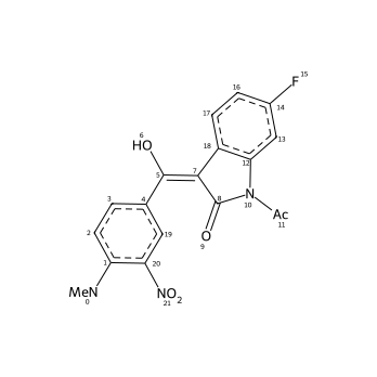 CNc1ccc(/C(O)=C2\C(=O)N(C(C)=O)c3cc(F)ccc32)cc1[N+](=O)[O-]